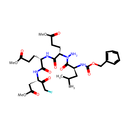 BC(C)C[C@H](NC(=O)OCc1ccccc1)C(=O)N(N)[C@@H](CCC(=O)OC)C(=O)N[C@@H](CCC(=O)OC)C(=O)N[C@@H](CC(=O)OC)C(=O)CF